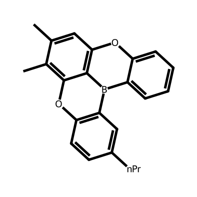 CCCc1ccc2c(c1)B1c3ccccc3Oc3cc(C)c(C)c(c31)O2